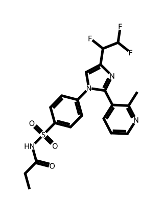 CCC(=O)NS(=O)(=O)c1ccc(-n2cc(C(F)C(F)F)nc2-c2cccnc2C)cc1